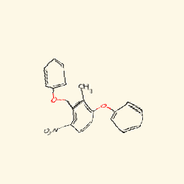 Cc1c(Oc2ccccc2)ccc([N+](=O)[O-])c1Oc1ccccc1